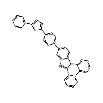 c1ccc(-c2ccc(-c3ccc(-c4ccc5c(c4)nc4c6ccccc6c6ccccc6n54)cc3)s2)cc1